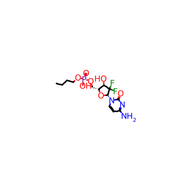 CCCCOP(=O)(O)OC[C@H]1O[C@@H](n2ccc(N)nc2=O)C(F)(F)[C@@H]1O